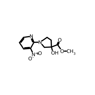 COC(=O)C1(O)CCN(c2ncccc2[N+](=O)[O-])C1